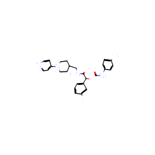 O=C(Nc1ccc(Cl)cc1)OC(C(=O)NCC1CCN(c2ccncc2)CC1)c1cccc(Cl)c1